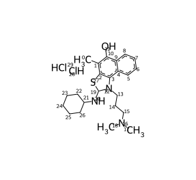 Cc1c2c(c3ccccc3c1O)N(CCCN(C)C)C(NC1CCCCC1)S2.Cl.Cl